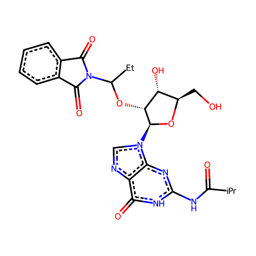 CCC(O[C@@H]1[C@H](O)[C@@H](CO)O[C@H]1n1cnc2c(=O)[nH]c(NC(=O)C(C)C)nc21)N1C(=O)c2ccccc2C1=O